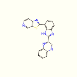 c1ccc2nc(-c3nc4cccc(-c5nc6ccncc6s5)c4[nH]3)cnc2c1